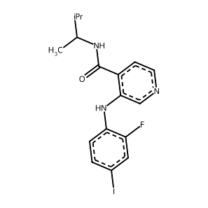 CC(C)C(C)NC(=O)c1ccncc1Nc1ccc(I)cc1F